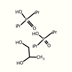 CC(C)P(=O)(O)C(C)C.CC(C)P(=O)(O)C(C)C.CC(O)CO